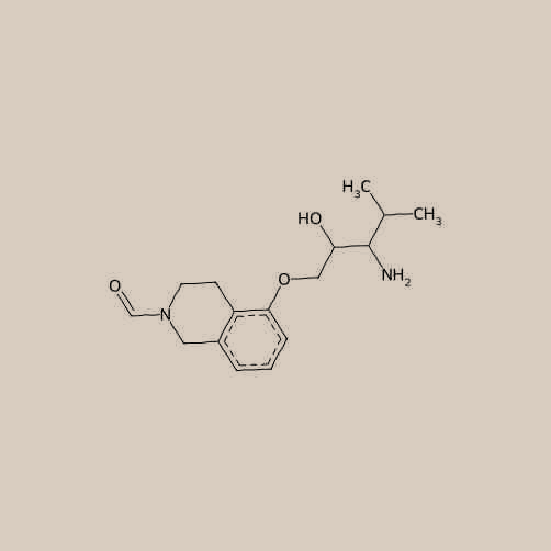 CC(C)C(N)C(O)COc1cccc2c1CCN(C=O)C2